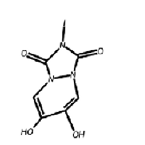 O=c1n(I)c(=O)n2cc(O)c(O)cn12